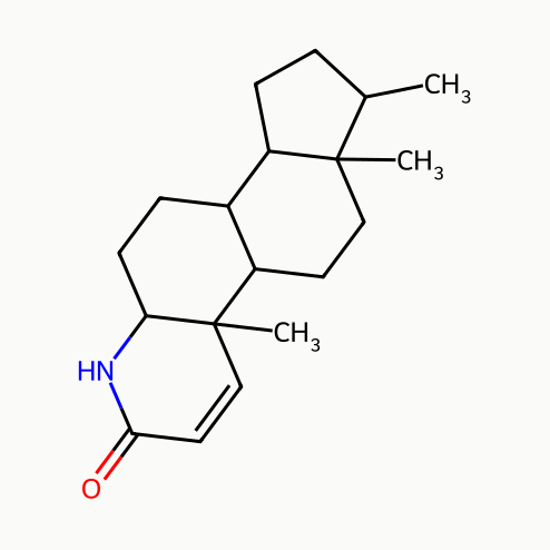 CC1CCC2C3CCC4NC(=O)C=CC4(C)C3CCC12C